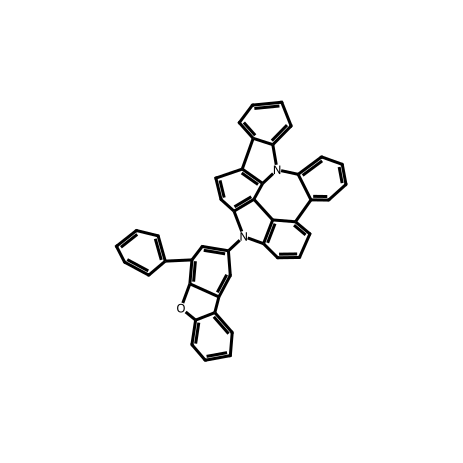 c1ccc(-c2cc(-n3c4cccc5c6ccccc6n6c7ccccc7c7ccc3c(c54)c76)cc3c2oc2ccccc23)cc1